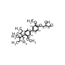 CCC(C)C(C)(c1ccc(-c2ccc(OCC(O)CCl)c(OC)c2)cc1OC)C(C)CC